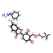 C[Si](C)(C)CCOCC1C(=O)CCC(N2Cc3cc(C[C@H]4CCCC[C@@H]4N)ccc3C2=O)C1=O